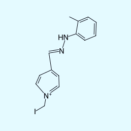 Cc1ccccc1NN=Cc1cc[n+](CI)cc1